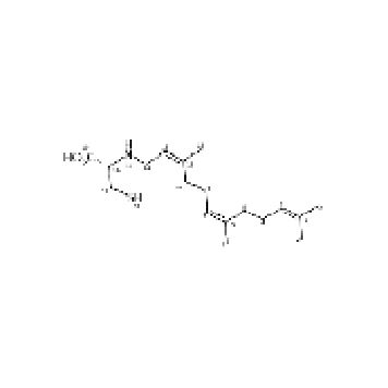 CC(C)=CCCC(C)=CCCC(C)=CCN[C@H](CS)C(=O)O